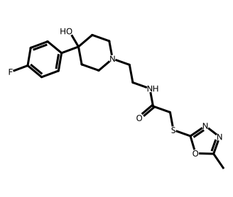 Cc1nnc(SCC(=O)NCCN2CCC(O)(c3ccc(F)cc3)CC2)o1